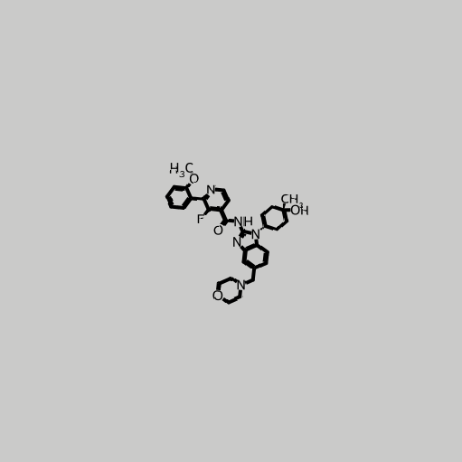 COc1ccccc1-c1nccc(C(=O)Nc2nc3cc(CN4CCOCC4)ccc3n2[C@H]2CC[C@@](C)(O)CC2)c1F